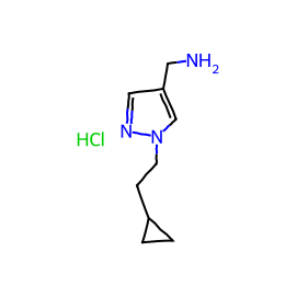 Cl.NCc1cnn(CCC2CC2)c1